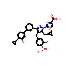 N[S+]([O-])c1ccc(Cc2c(-c3cccc(-c4ccc(C5CC5)c(F)c4)c3)nn(-c3nc(C(=O)O)cs3)c2CC2CC2)cc1F